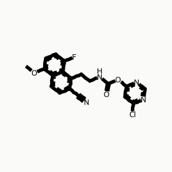 COc1ccc(F)c2c(CCNC(=O)Oc3cc(Cl)ncn3)c(C#N)ccc12